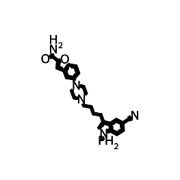 N#Cc1ccc2c(c1)c(CCCCN1CCN(c3ccc4oc(C(N)=O)cc4c3)CC1)cn2P